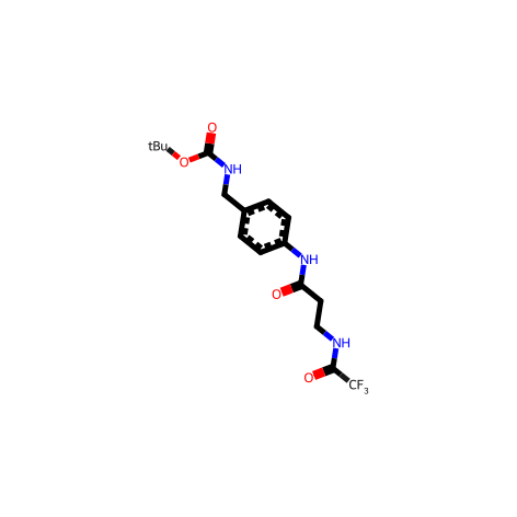 CC(C)(C)OC(=O)NCc1ccc(NC(=O)CCNC(=O)C(F)(F)F)cc1